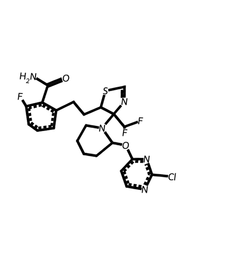 NC(=O)c1c(F)cccc1CCC1SC=NC1(C(F)F)N1CCCCC1Oc1ccnc(Cl)n1